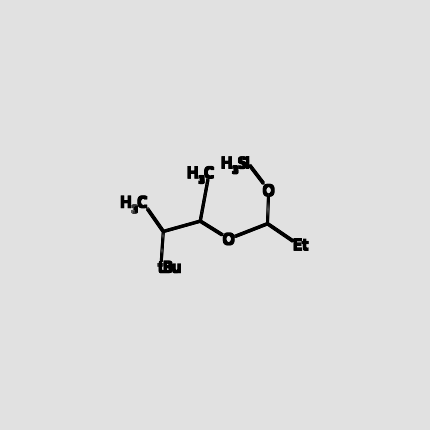 CCC(O[SiH3])OC(C)C(C)C(C)(C)C